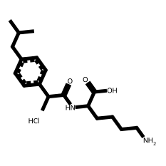 CC(C)Cc1ccc(C(C)C(=O)NC(CCCCN)C(=O)O)cc1.Cl